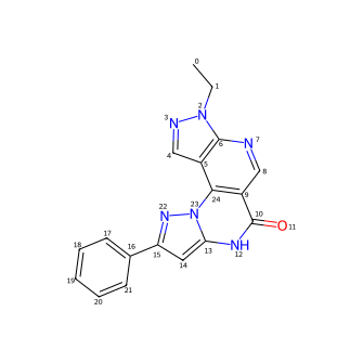 CCn1ncc2c1ncc1c(=O)[nH]c3cc(-c4ccccc4)nn3c12